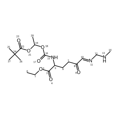 CCOC(=O)C(CCC(=O)/C=N/CNC)NC(=O)OC(C)OC(=O)C(C)(C)C